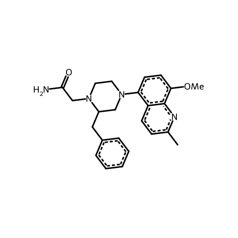 COc1ccc(N2CCN(CC(N)=O)C(Cc3ccccc3)C2)c2ccc(C)nc12